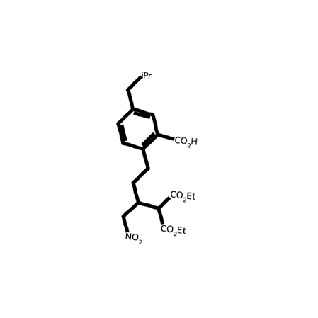 CCOC(=O)C(C(=O)OCC)C(CCc1ccc(CC(C)C)cc1C(=O)O)C[N+](=O)[O-]